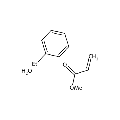 C=CC(=O)OC.CCc1ccccc1.O